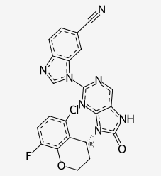 N#Cc1ccc2ncn(-c3ncc4[nH]c(=O)n([C@@H]5CCOc6c(F)ccc(Cl)c65)c4n3)c2c1